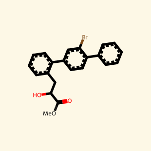 COC(=O)C(O)Cc1ccccc1-c1ccc(-c2ccccc2)c(Br)c1